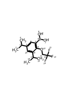 CC(C)c1cc(B(O)O)c(OCC(F)(F)F)c(C(C)C)c1